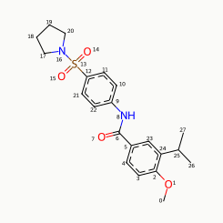 COc1ccc(C(=O)Nc2ccc(S(=O)(=O)N3CCCC3)cc2)cc1C(C)C